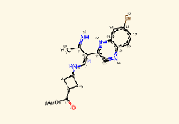 COC(=O)C1CC(N/C=C(\C(C)=N)c2cnc3ccc(Br)cc3n2)C1